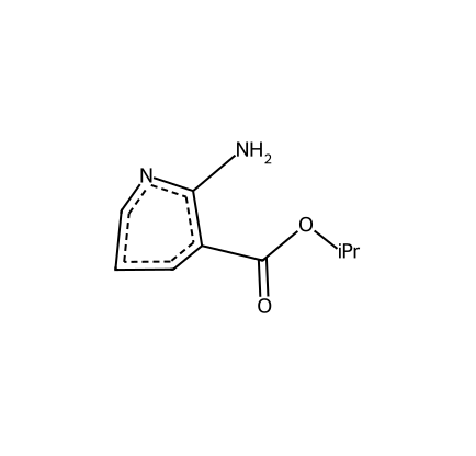 CC(C)OC(=O)c1cccnc1N